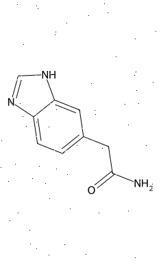 NC(=O)Cc1ccc2nc[nH]c2c1